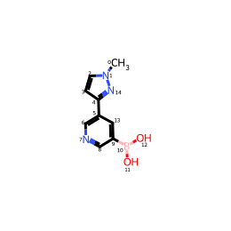 Cn1ccc(-c2cncc(B(O)O)c2)n1